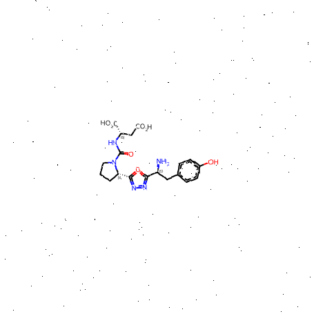 N[C@@H](Cc1ccc(O)cc1)c1nnc([C@@H]2CCCN2C(=O)N[C@@H](CC(=O)O)C(=O)O)o1